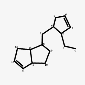 CCC1C=CCC1CC1CCC2C=CCC21